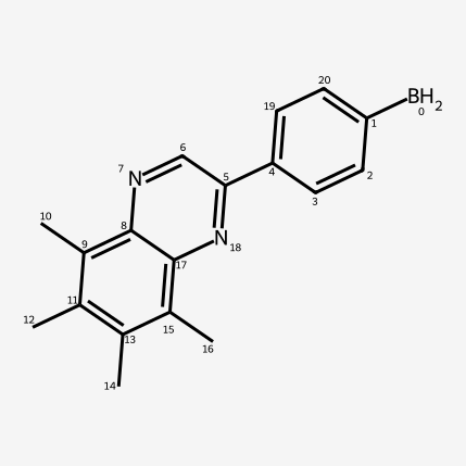 Bc1ccc(-c2cnc3c(C)c(C)c(C)c(C)c3n2)cc1